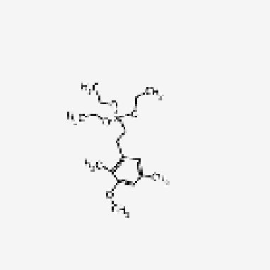 CCO[Si](CCc1cc(C)cc(OC)c1C)(OCC)OCC